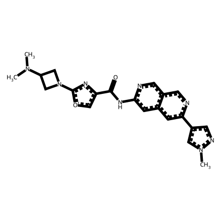 CN(C)C1CN(c2nc(C(=O)Nc3cc4cc(-c5cnn(C)c5)ncc4cn3)co2)C1